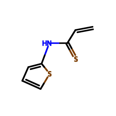 C=CC(=S)Nc1cccs1